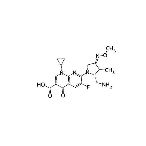 CON=C1CN(c2nc3c(cc2F)c(=O)c(C(=O)O)cn3C2CC2)[C@@H](CN)C1C